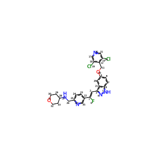 F/C(=C\c1n[nH]c2ccc(OCc3c(Cl)cncc3Cl)cc12)c1ccc(CNC2CCOCC2)nc1